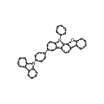 c1ccc(-n2c3ccc(-c4ccc(-n5c6ccccc6c6ccccc65)cc4)cc3c3ccc4c5ccccc5oc4c32)cc1